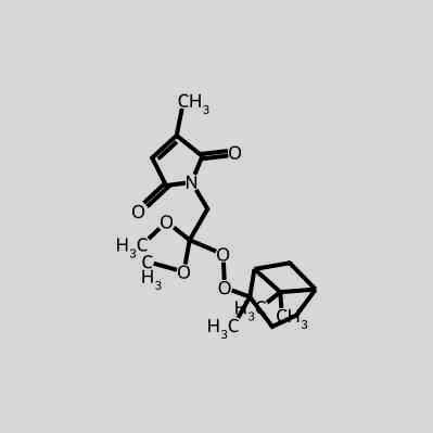 COC(CN1C(=O)C=C(C)C1=O)(OC)OOC1(C)CCC2CC1C2(C)C